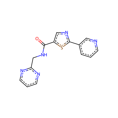 O=C(NCc1ncccn1)c1cnc(-c2cccnc2)s1